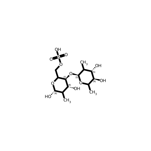 CC1[C@H](O)OC(COS(=O)(=O)O)[C@@H](O[C@@H]2OC(C)[C@H](O)[C@@H](O)C2C)[C@@H]1O